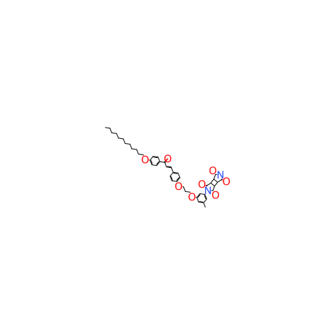 CCCCCCCCCCCCOc1ccc(C(=O)/C=C/c2ccc(OCCCOc3cc(C)cc(N4C(=O)C5C6C(=O)N(C)C(=O)C6C5C4=O)c3)cc2)cc1